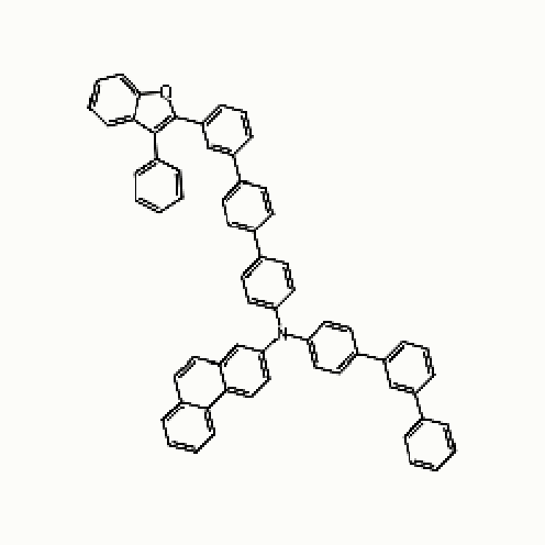 c1ccc(-c2cccc(-c3ccc(N(c4ccc(-c5ccc(-c6cccc(-c7oc8ccccc8c7-c7ccccc7)c6)cc5)cc4)c4ccc5c(ccc6ccccc65)c4)cc3)c2)cc1